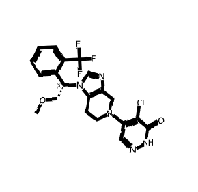 COC[C@H](c1ccccc1C(F)(F)F)n1cnc2c1CCN(c1cn[nH]c(=O)c1Cl)C2